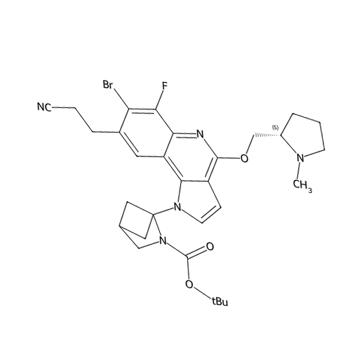 CN1CCC[C@H]1COc1nc2c(F)c(Br)c(CCC#N)cc2c2c1ccn2C12CC(CN1C(=O)OC(C)(C)C)C2